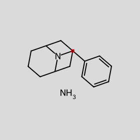 N.c1ccc(CN2C3CCCC2CCC3)cc1